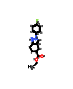 CCOC(=O)C1CCc2nn(-c3ccc(F)cc3)cc2C1